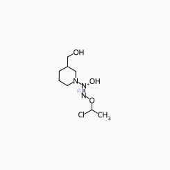 CC(Cl)O/N=[N+](\O)N1CCCC(CO)C1